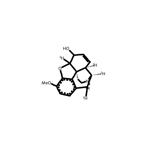 [2H]C12Oc3c(OC)ccc4c3[C@@]13CCN(C)[C@]([2H])(C4([2H])[2H])[C@]3([2H])C=CC2O